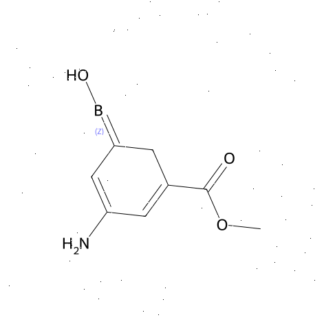 COC(=O)C1=CC(N)=C/C(=B\O)C1